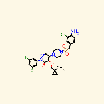 CC1(COc2c(N3CCN(S(=O)(=O)Cc4ccc(N)c(Cl)c4)CC3)cnn(-c3cc(F)cc(F)c3)c2=O)CC1